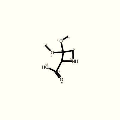 COC1(OC)CNC1C(=O)O